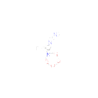 FC(F)(F)c1cc(N2CCC(CN3CCCC3)CC2)ccc1CN1CCOCCOCCOCCOCC1